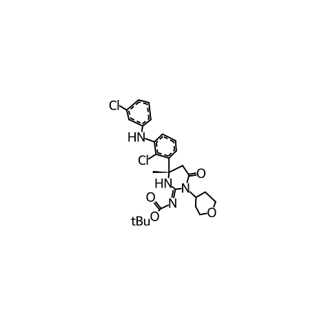 CC(C)(C)OC(=O)N=C1N[C@](C)(c2cccc(Nc3cccc(Cl)c3)c2Cl)CC(=O)N1C1CCOCC1